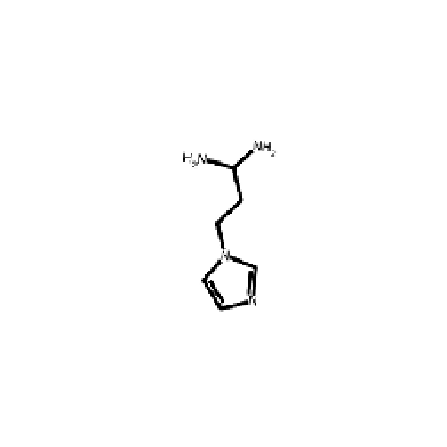 NC(N)CCn1ccnc1